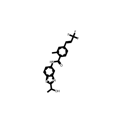 Cc1cc(C=CC(F)(F)F)ccc1C(=O)Nc1ccc2sc(C(C)O)nc2c1